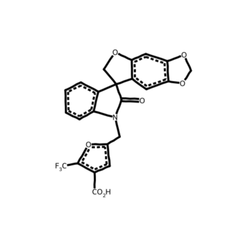 O=C(O)c1cc(CN2C(=O)C3(COc4cc5c(cc43)OCO5)c3ccccc32)oc1C(F)(F)F